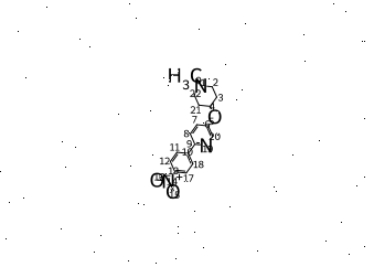 CN1CCC(Oc2ccc(-c3ccc([N+](=O)[O-])cc3)nc2)CC1